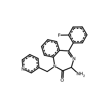 NC1N=C(c2ccccc2F)c2ccccc2N(Cc2cccnc2)C1=O